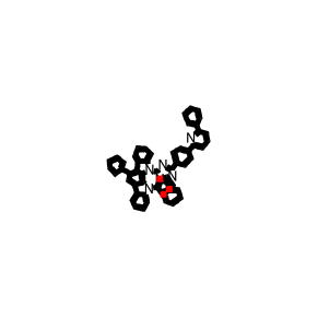 c1ccc(-c2cccc(-c3ccc(-c4nc(-c5ccccc5)nc(-n5c6ccccc6c6c(-c7ccccc7)cc7c8ccccc8n(-c8ccccc8)c7c65)n4)cc3)n2)cc1